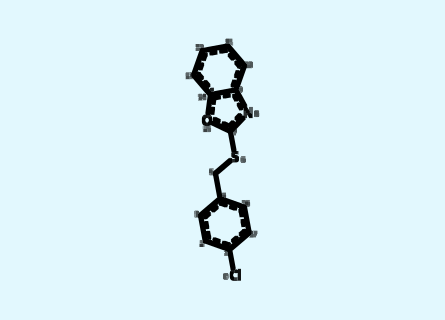 Clc1ccc(CSc2nc3ccccc3o2)cc1